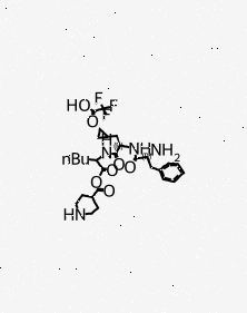 CCCCC(NC(=O)[C@@H](CC1CC1)NC(=O)[C@H](N)Cc1ccccc1)C(=O)OC(=O)C1CCNCC1.O=C(O)C(F)(F)F